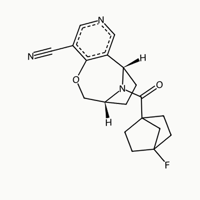 N#Cc1cncc2c1OC[C@H]1CC[C@@H]2N1C(=O)C12CCC(F)(CC1)C2